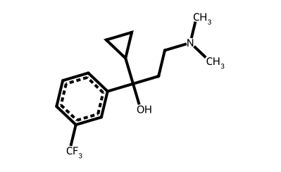 CN(C)CCC(O)(c1cccc(C(F)(F)F)c1)C1CC1